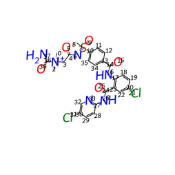 C[N+](C)(CC(=O)N=S(C)(=O)c1ccc(C(=O)Nc2ccc(Cl)cc2C(=O)Nc2ccc(Cl)cn2)cc1)C(N)=O